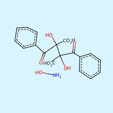 NO.O=C(O)C(O)(C(=O)c1ccccc1)C(O)(C(=O)O)C(=O)c1ccccc1